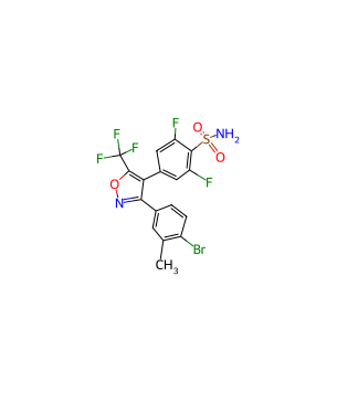 Cc1cc(-c2noc(C(F)(F)F)c2-c2cc(F)c(S(N)(=O)=O)c(F)c2)ccc1Br